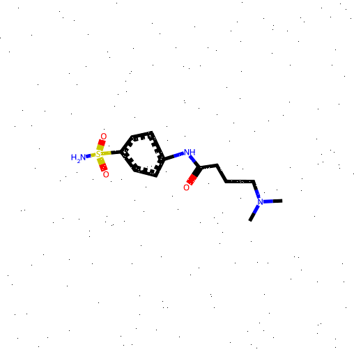 CN(C)CCCC(=O)Nc1ccc(S(N)(=O)=O)cc1